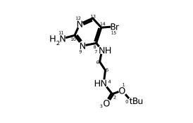 CC(C)(C)OC(=O)NCCNc1nc(N)ncc1Br